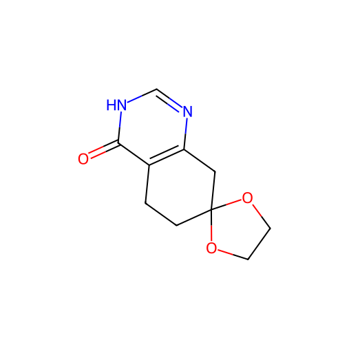 O=c1[nH]cnc2c1CCC1(C2)OCCO1